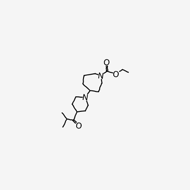 CCOC(=O)N1CCCC(N2CCC(C(=O)C(C)C)CC2)CC1